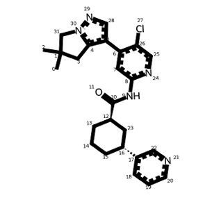 CC1(C)Cc2c(-c3cc(NC(=O)[C@@H]4CCC[C@@H](c5cccnc5)C4)ncc3Cl)cnn2C1